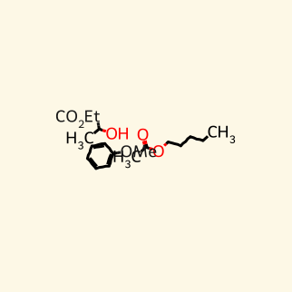 CCCCCOC(C)=O.CCOC(=O)C(C)O.COc1ccccc1